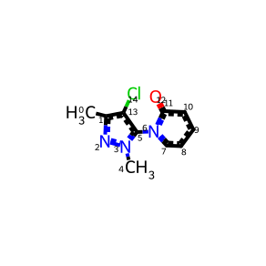 Cc1nn(C)c(-n2ccccc2=O)c1Cl